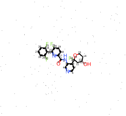 O=C(Nc1cnccc1[C@@]1(F)C[C@@H](O)CCO1)c1ccc(F)c(-c2c(F)cccc2F)n1